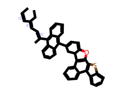 C\C=C/C(=C/C=C(\C)c1c2ccccc2c(C2=CC=C3Oc4c(c5ccccc5c5c4sc4ccccc45)C3C2)c2ccccc12)CC